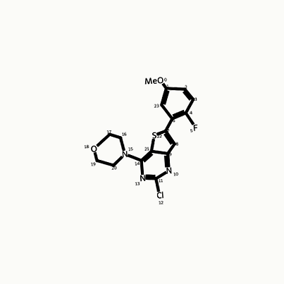 COc1ccc(F)c(-c2cc3nc(Cl)nc(N4CCOCC4)c3s2)c1